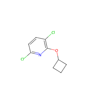 Clc1ccc(Cl)c(OC2CCC2)n1